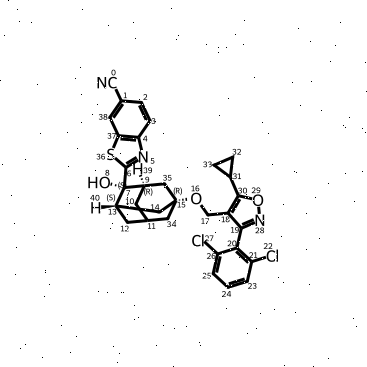 N#Cc1ccc2nc([C@@]3(O)[C@@H]4CC5C[C@H]3C[C@](OCc3c(-c6c(Cl)cccc6Cl)noc3C3CC3)(C5)C4)sc2c1